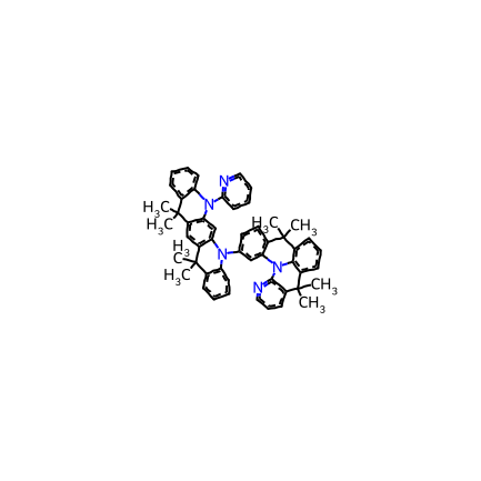 CC1(C)c2ccccc2N(c2ccc3c(c2)N2c4ncccc4C(C)(C)c4cccc(c42)C3(C)C)c2cc3c(cc21)C(C)(C)c1ccccc1N3c1ccccn1